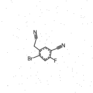 N#CCc1cc(C#N)c(F)cc1Br